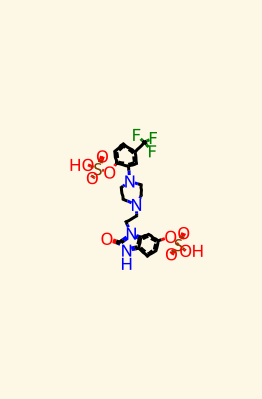 O=c1[nH]c2ccc(OS(=O)(=O)O)cc2n1CCN1CCN(c2cc(C(F)(F)F)ccc2OS(=O)(=O)O)CC1